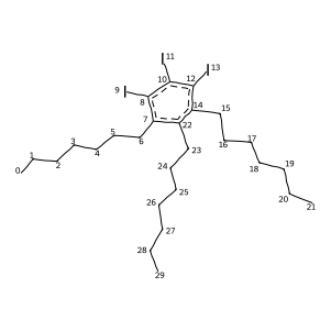 CCCCCCCc1c(I)c(I)c(I)c(CCCCCCC)c1CCCCCCC